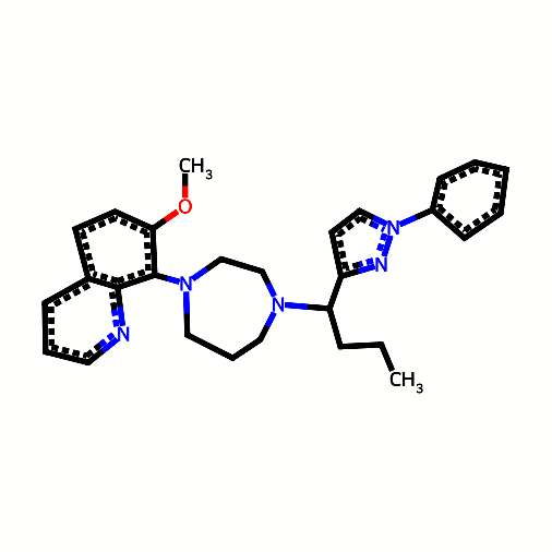 CCCC(c1ccn(-c2ccccc2)n1)N1CCCN(c2c(OC)ccc3cccnc23)CC1